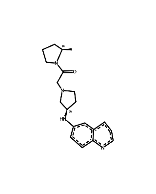 C[C@@H]1CCCN1C(=O)CN1CC[C@@H](Nc2ccc3ncccc3c2)C1